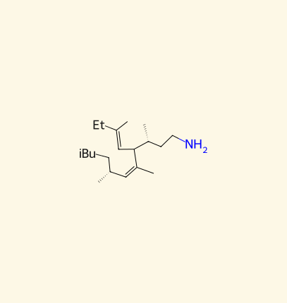 CCC(C)=CC(/C(C)=C\[C@H](C)CC(C)CC)[C@H](C)CCN